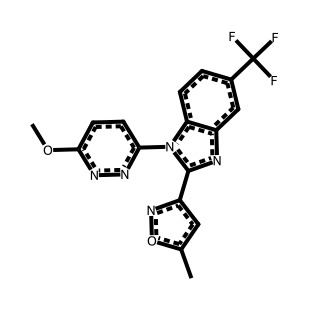 COc1ccc(-n2c(-c3cc(C)on3)nc3cc(C(F)(F)F)ccc32)nn1